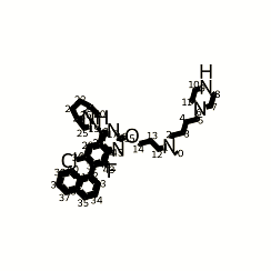 CN(CCCCN1CCNCC1)CCCOc1nc(N2CC3CCC(C2)N3)c2cc(Cl)c(-c3cccc4ccccc34)c(F)c2n1